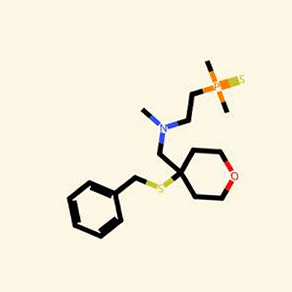 CN(CCP(C)(C)=S)CC1(SCc2ccccc2)CCOCC1